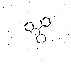 c1ccc(P(c2ccccn2)C2CCCCC2)nc1